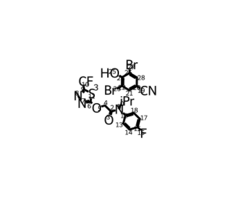 CC(C)N(C(=O)COc1nnc(C(F)(F)F)s1)c1ccc(F)cc1.N#Cc1cc(Br)c(O)c(Br)c1